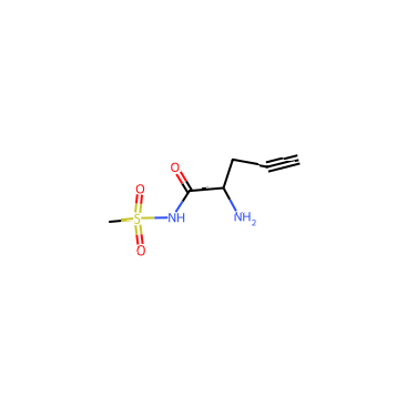 C#CCC(N)C(=O)NS(C)(=O)=O